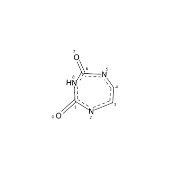 O=c1nccnc(=O)[nH]1